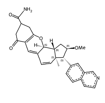 CO[C@@H]1C[C@H]2[C@@H]3OC4=C(C=C3C=C[C@]2(C)[C@H]1c1ccc2ccncc2c1)C(=O)CC(C(N)=O)C4